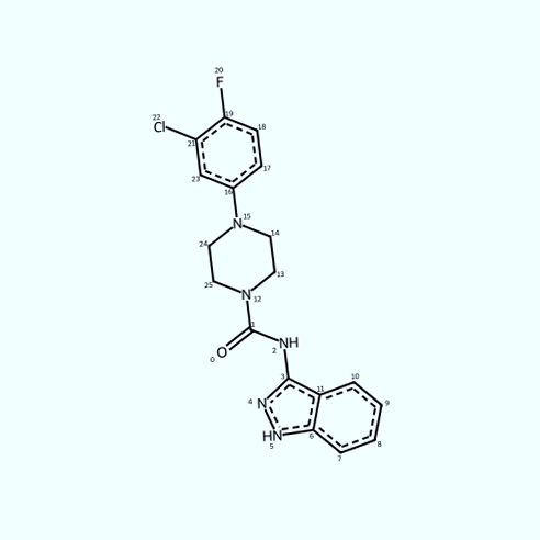 O=C(Nc1n[nH]c2ccccc12)N1CCN(c2ccc(F)c(Cl)c2)CC1